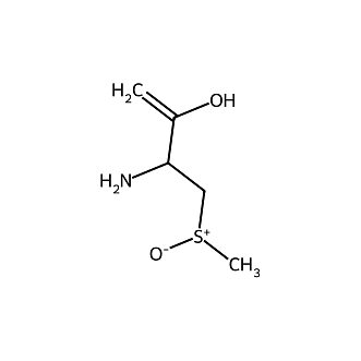 C=C(O)C(N)C[S+](C)[O-]